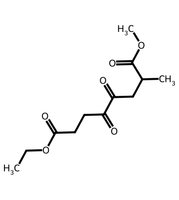 CCOC(=O)CCC(=O)C(=O)CC(C)C(=O)OC